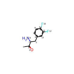 CC(=O)[C@@H](N)Cc1ccc(F)c(F)c1